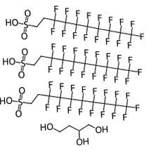 O=S(=O)(O)CCC(F)(F)C(F)(F)C(F)(F)C(F)(F)C(F)(F)C(F)(F)C(F)(F)C(F)(F)F.O=S(=O)(O)CCC(F)(F)C(F)(F)C(F)(F)C(F)(F)C(F)(F)C(F)(F)C(F)(F)C(F)(F)F.O=S(=O)(O)CCC(F)(F)C(F)(F)C(F)(F)C(F)(F)C(F)(F)C(F)(F)C(F)(F)C(F)(F)F.OCCC(O)CO